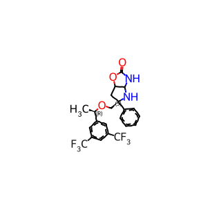 C[C@@H](OC[C@@]1(c2ccccc2)CC2OC(=O)NC2N1)c1cc(C(F)(F)F)cc(C(F)(F)F)c1